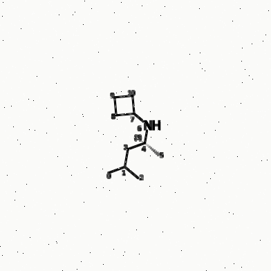 CC(C)C[C@@H](C)NC1CCC1